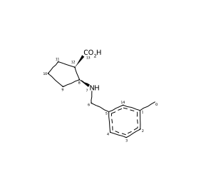 Cc1cccc(CN[C@H]2CCC[C@H]2C(=O)O)c1